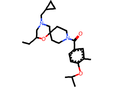 CCC1CN(CC2CC2)CC2(CCN(C(=O)c3ccc(OC(C)C)c(C)c3)CC2)O1